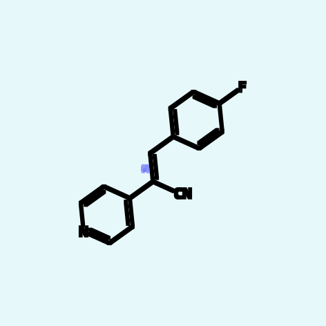 N#C/C(=C\c1ccc(F)cc1)c1ccncc1